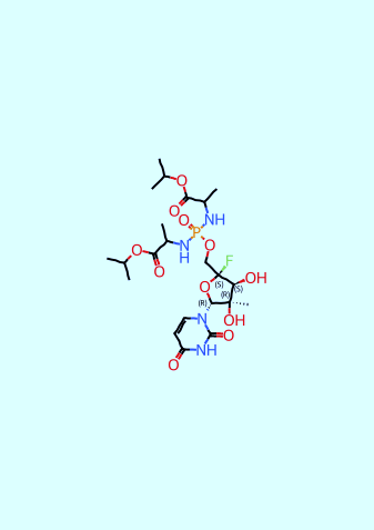 CC(C)OC(=O)C(C)NP(=O)(NC(C)C(=O)OC(C)C)OC[C@@]1(F)O[C@@H](n2ccc(=O)[nH]c2=O)[C@](C)(O)[C@@H]1O